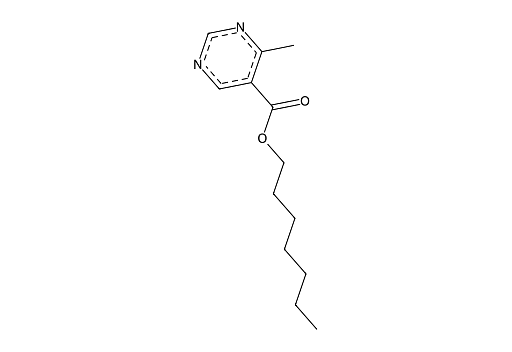 CCCCCCCOC(=O)c1cncnc1C